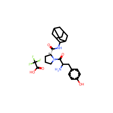 NC(Cc1ccc(O)cc1)C(=O)N1CCC[C@@H]1C(=O)NC1C2CC3CC(C2)CC1C3.O=C(O)C(F)(F)F